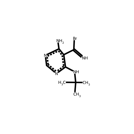 CC(C)(C)Nc1ncnc(N)c1C(=N)Br